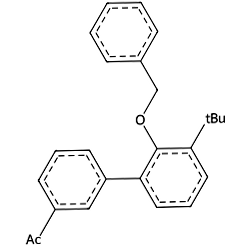 CC(=O)c1cccc(-c2cccc(C(C)(C)C)c2OCc2ccccc2)c1